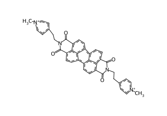 C[n+]1ccc(CCN2C(=O)c3ccc4c5ccc6c7c(ccc(c8ccc(c3c48)C2=O)c75)C(=O)N(CCc2cc[n+](C)cc2)C6=O)cc1